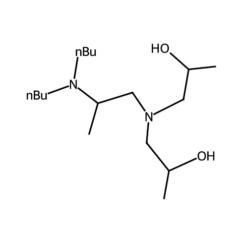 CCCCN(CCCC)C(C)CN(CC(C)O)CC(C)O